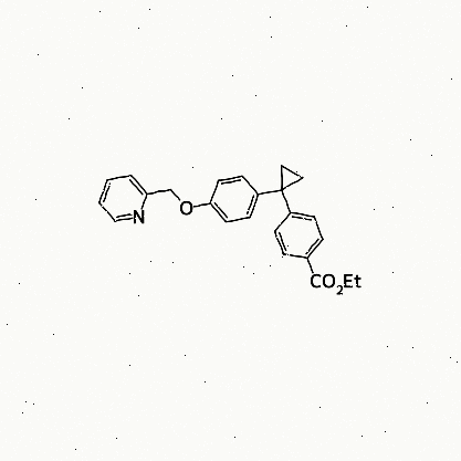 CCOC(=O)c1ccc(C2(c3ccc(OCc4ccccn4)cc3)CC2)cc1